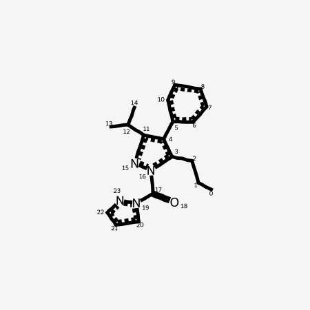 CCCc1c(-c2ccccc2)c(C(C)C)nn1C(=O)n1cccn1